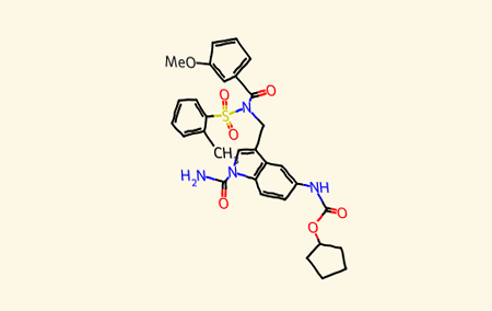 COc1cccc(C(=O)N(Cc2cn(C(N)=O)c3ccc(NC(=O)OC4CCCC4)cc23)S(=O)(=O)c2ccccc2C)c1